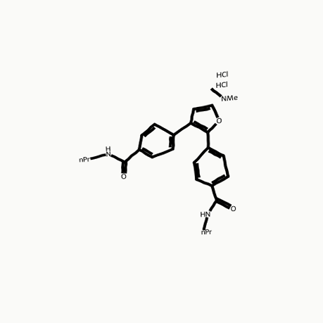 CCCNC(=O)c1ccc(-c2ccoc2-c2ccc(C(=O)NCCC)cc2)cc1.CNC.Cl.Cl